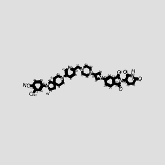 C[C@H]1CC2(CCN(c3ccc(CN4CCN(C5CN(c6ccc7c(c6)C(=O)N(C6CCC(=O)NC6=O)C7=O)C5)CC4)nc3)CC2)CN1c1ccc(C#N)c(Cl)c1